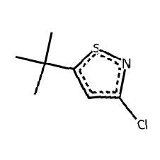 CC(C)(C)c1cc(Cl)ns1